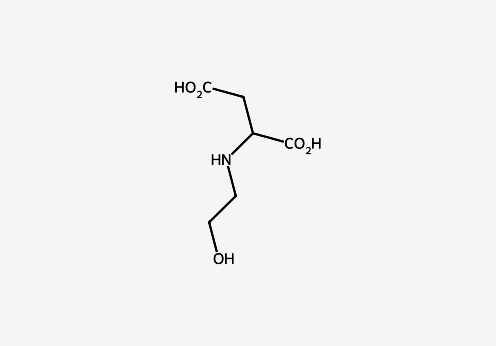 O=C(O)CC(NCCO)C(=O)O